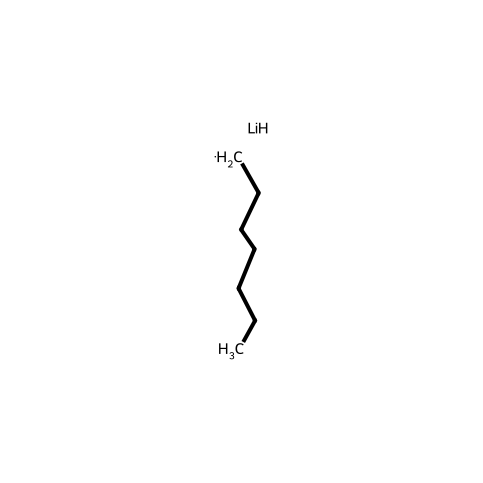 [CH2]CCCCCC.[LiH]